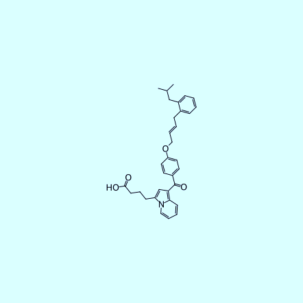 CC(C)Cc1ccccc1CC=CCOc1ccc(C(=O)c2cc(CCCC(=O)O)n3ccccc23)cc1